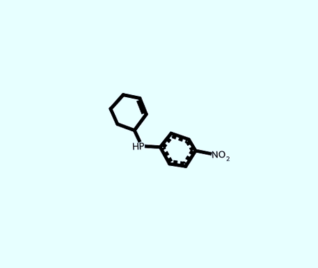 O=[N+]([O-])c1ccc(PC2C=CCCC2)cc1